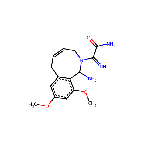 COc1cc2c(c(OC)c1)C(N)N(C(=N)C(N)=O)C/C=C\C2